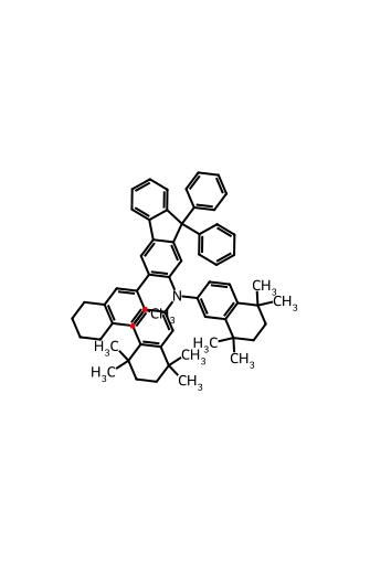 Cc1cc2c(cc1-c1cc3c(cc1N(c1ccc4c(c1)C(C)(C)CCC4(C)C)c1ccc4c(c1)C(C)(C)CCC4(C)C)C(c1ccccc1)(c1ccccc1)c1ccccc1-3)CCCC2